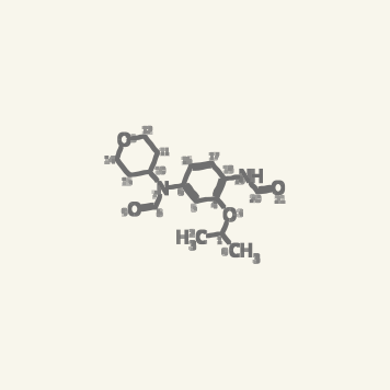 CC(C)Oc1cc(N(C=O)C2CCOCC2)ccc1NC=O